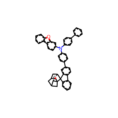 c1ccc(-c2ccc(N(c3ccc(-c4ccc5c(c4)C4(c6ccccc6-5)C5CC6CC7CC4(C6)C7C5)cc3)c3ccc4c(c3)oc3ccccc34)cc2)cc1